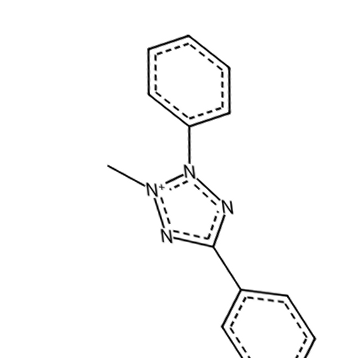 C[n+]1nc(-c2ccccc2)nn1-c1ccccc1